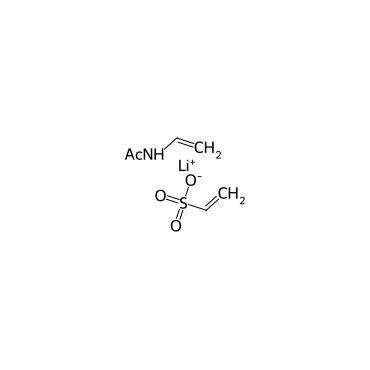 C=CNC(C)=O.C=CS(=O)(=O)[O-].[Li+]